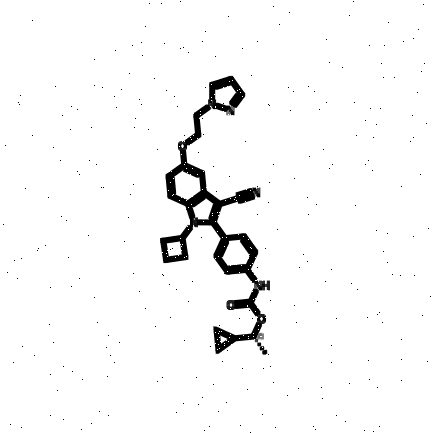 C[C@@H](OC(=O)Nc1ccc(-c2c(C#N)c3cc(OCCn4cccn4)ccc3n2C2CCC2)cc1)C1CC1